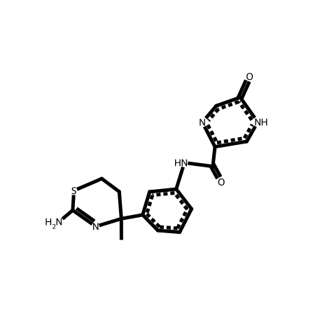 CC1(c2cccc(NC(=O)c3c[nH]c(=O)cn3)c2)CCSC(N)=N1